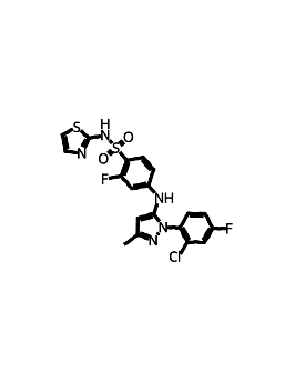 Cc1cc(Nc2ccc(S(=O)(=O)Nc3nccs3)c(F)c2)n(-c2ccc(F)cc2Cl)n1